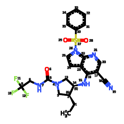 CC[C@H]1CN(C(=O)NCC(F)(F)F)C[C@H]1Nc1c(C#N)cnc2c1ccn2S(=O)(=O)c1ccccc1